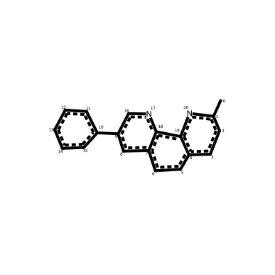 Cc1ccc2ccc3cc(-c4ccccc4)cnc3c2n1